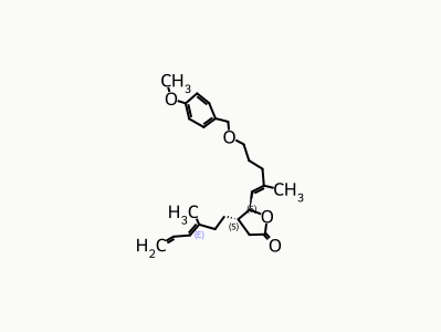 C=C/C=C(\C)CC[C@H]1CC(=O)O[C@@H]1C=C(C)CCCOCc1ccc(OC)cc1